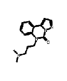 CN(C)CCCn1c(=O)n2nccc2c2ccccc21